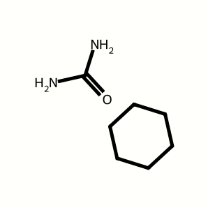 C1CCCCC1.NC(N)=O